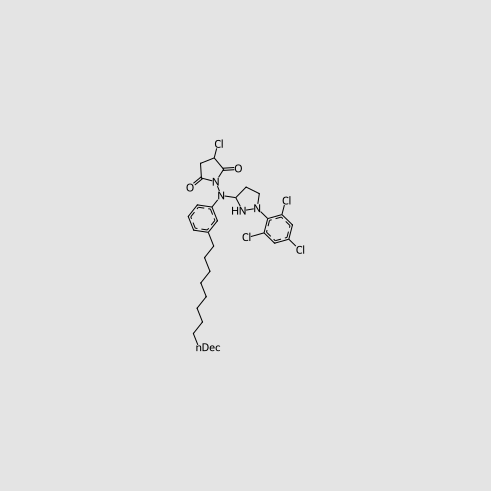 CCCCCCCCCCCCCCCCCCc1cccc(N(C2CCN(c3c(Cl)cc(Cl)cc3Cl)N2)N2C(=O)CC(Cl)C2=O)c1